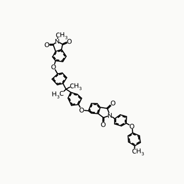 Cc1ccc(Oc2ccc(N3C(=O)c4ccc(Oc5ccc(C(C)(C)c6ccc(Oc7ccc8c(c7)C(=O)N(C)C8=O)cc6)cc5)cc4C3=O)cc2)cc1